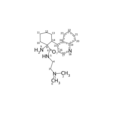 CN(C)CCNC(=O)C1(N)CCCCC1c1ccnc2ccccc12